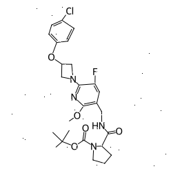 COc1nc(N2CC(Oc3ccc(Cl)cc3)C2)c(F)cc1CNC(=O)C1CCCN1C(=O)OC(C)(C)C